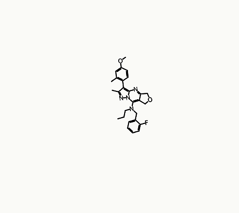 CCCN(Cc1ccccc1F)c1c2c(nc3c(-c4ccc(OC)cc4C)c(C)nn13)COC2